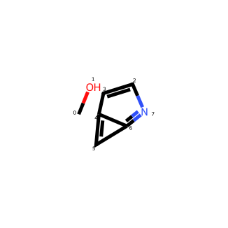 CO.c1cc2cc-2n1